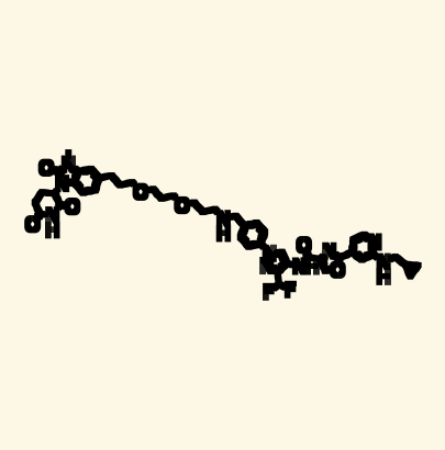 Cn1c(=O)n(C2CCC(=O)NC2=O)c2ccc(CCCOCCCOCCCNCc3ccc(-n4cc(NC(=O)c5coc(-c6ccnc(NCC7CC7)c6)n5)c(C(F)F)n4)cc3)cc21